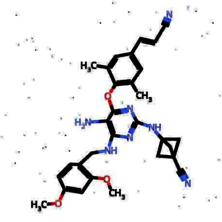 COc1ccc(CNc2nc(NC34CC(C#N)(C3)C4)nc(Oc3c(C)cc(C=CC#N)cc3C)c2N)c(OC)c1